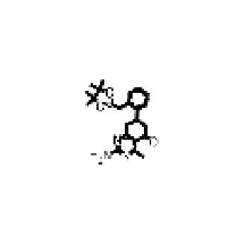 Cc1nc(N)nc2c1C(=O)CC(c1ccccc1CB1OC(C)(C)C(C)(C)O1)C2